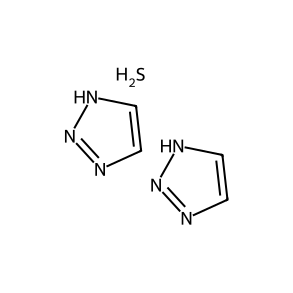 S.c1c[nH]nn1.c1c[nH]nn1